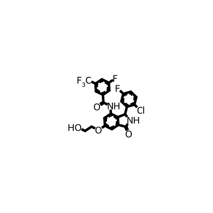 O=C(Nc1cc(OCCO)cc2c1C(c1cc(F)ccc1Cl)NC2=O)c1cc(F)cc(C(F)(F)F)c1